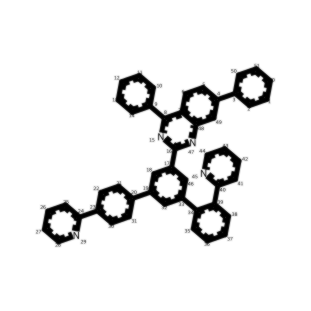 c1ccc(-c2ccc3c(-c4ccccc4)nc(-c4cc(-c5ccc(-c6ccccn6)cc5)cc(-c5ccccc5-c5ccccn5)c4)nc3c2)cc1